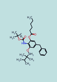 CCCCCC(=O)Oc1cc(Cc2ccccc2)cc(O[SiH2]C(C)(C)C(C)C)c1NC(=O)OC(C)(C)C